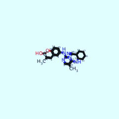 CC1=Cc2cc(Nc3ncc(C)c(NC4CCCCC4C#N)n3)ccc2OB1O